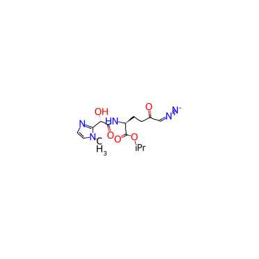 CC(C)OC(=O)[C@H](CCC(=O)C=[N+]=[N-])NC(=O)[C@@H](O)c1nccn1C